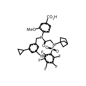 COc1cc(C(=O)O)ccc1N(Cc1cc(C2CC2)cc(C(C)(C)C)c1)C(=O)CN(C12CCC(C1)C2)S(=O)(=O)c1c(F)c(F)c(F)c(F)c1F